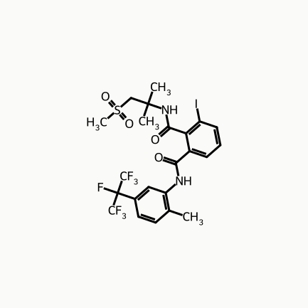 Cc1ccc(C(F)(C(F)(F)F)C(F)(F)F)cc1NC(=O)c1cccc(I)c1C(=O)NC(C)(C)CS(C)(=O)=O